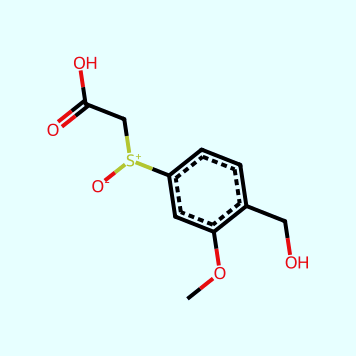 COc1cc([S+]([O-])CC(=O)O)ccc1CO